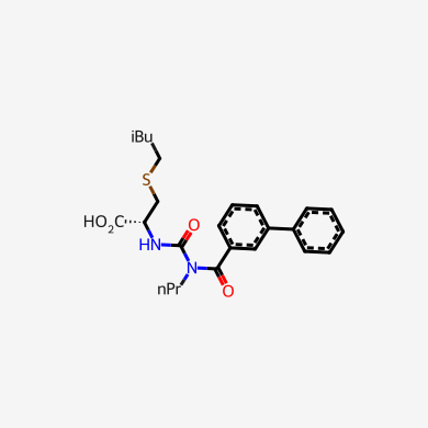 CCCN(C(=O)N[C@@H](CSCC(C)CC)C(=O)O)C(=O)c1cccc(-c2ccccc2)c1